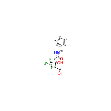 O=C(CC(O)(CCO)C(F)(F)F)NCc1ccccc1